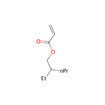 C=CC(=O)OC[C](CC)CCC